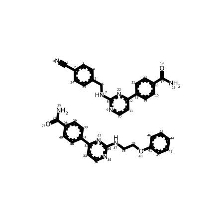 N#Cc1ccc(CNc2nccc(-c3ccc(C(N)=O)cc3)n2)cc1.NC(=O)c1ccc(-c2ccnc(NCCOc3ccccc3)n2)cc1